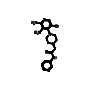 Nc1ncc(Br)c(N2CCN(CC(=O)Nc3cccnc3)CC2)c1[N+](=O)[O-]